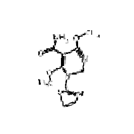 COC1=NCN(c2nccs2)C(OC)=C1C(N)=O